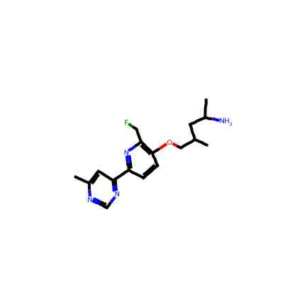 Cc1cc(-c2ccc(OCC(C)CC(C)N)c(CF)n2)ncn1